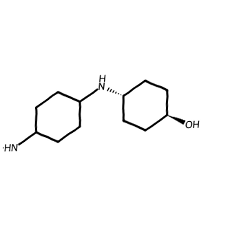 [NH]C1CCC(N[C@H]2CC[C@H](O)CC2)CC1